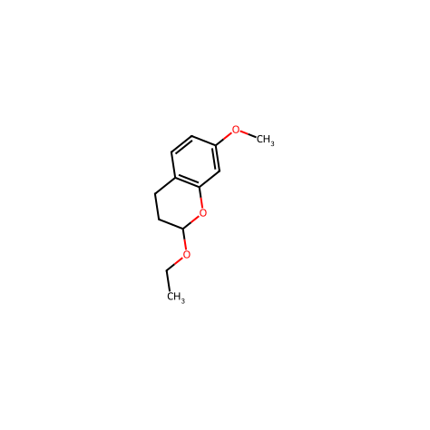 CCOC1CCc2ccc(OC)cc2O1